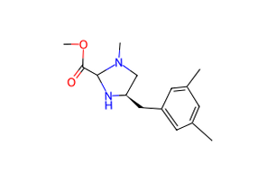 COC(=O)C1N[C@H](Cc2cc(C)cc(C)c2)CN1C